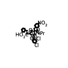 CC(C)N1CC2N(C(=O)C(N(Cc3ccccc3)C(=O)O)CN2S(=O)(=O)c2ccc(Cl)cc2Cl)C(Cc2ccc([N+](=O)[O-])cc2)C1=O